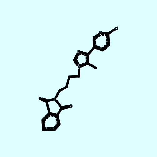 Cc1c(-c2ccc(Cl)nc2)ncn1CCCCN1C(=O)c2ccccc2C1=O